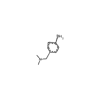 Bc1ccc(CN(C)C)cc1